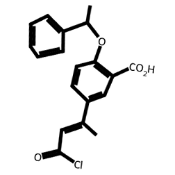 C/C(=C\C(=O)Cl)c1ccc(OC(C)c2ccccc2)c(C(=O)O)c1